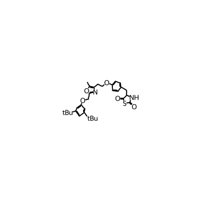 Cc1oc(COc2cc(C(C)(C)C)cc(C(C)(C)C)c2)nc1CCOc1ccc(CC2NC(=O)SC2=O)cc1